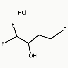 Cl.OC(CCF)C(F)F